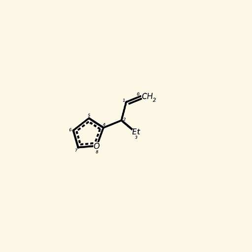 C=CC(CC)c1ccco1